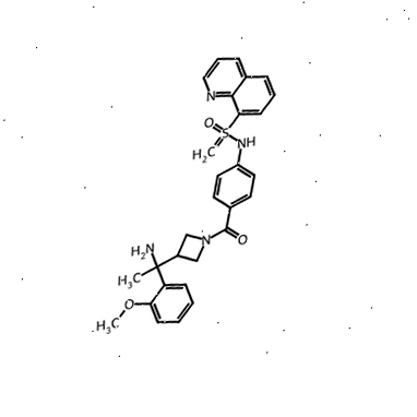 C=S(=O)(Nc1ccc(C(=O)N2CC(C(C)(N)c3ccccc3OC)C2)cc1)c1cccc2cccnc12